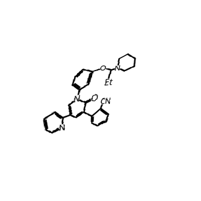 CCC(Oc1cccc(-n2cc(-c3ccccn3)cc(-c3ccccc3C#N)c2=O)c1)N1CCCCC1